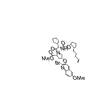 C=CCCC[C@@H]1CCC[C@]1(C)OC(=O)N[C@H](C(=O)N1C[C@H](Oc2cc3cc(OC)ccc3nc2Br)C[C@H]1C(=O)OC)C1CCCC1